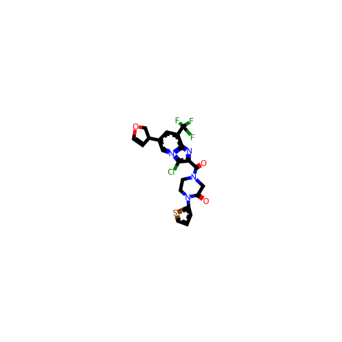 O=C(c1nc2c(C(F)(F)F)cc(C3C=COC3)cn2c1Cl)N1CCN(c2cccs2)C(=O)C1